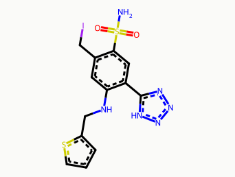 NS(=O)(=O)c1cc(-c2nnn[nH]2)c(NCc2cccs2)cc1CI